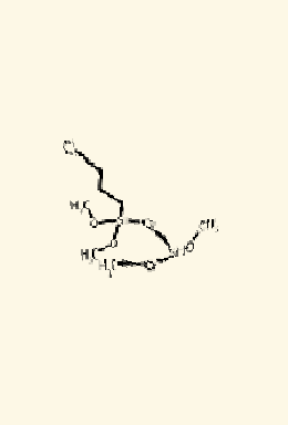 CO[SiH](OC)O[Si](CCCCl)(OC)OC